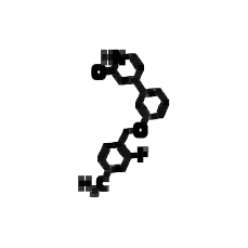 Cc1ccc(COc2cccc(-c3cc[nH]c(=O)c3)c2)c(F)c1